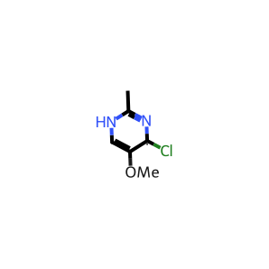 COC1=CNC(C)=N[C]1Cl